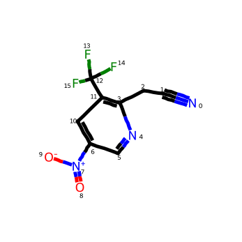 N#CCc1ncc([N+](=O)[O-])cc1C(F)(F)F